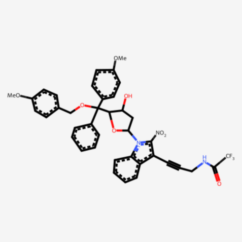 COc1ccc(COC(c2ccccc2)(c2ccc(OC)cc2)C2OC(n3c([N+](=O)[O-])c(C#CCNC(=O)C(F)(F)F)c4ccccc43)CC2O)cc1